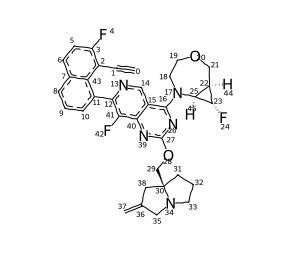 C#Cc1c(F)ccc2cccc(-c3ncc4c(N5CCOC[C@H]6[C@H](F)[C@H]65)nc(OC[C@@]56CCCN5CC(=C)C6)nc4c3F)c12